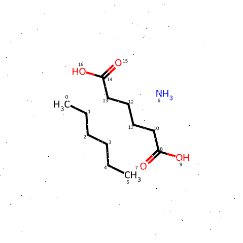 CCCCCC.N.O=C(O)CCCCC(=O)O